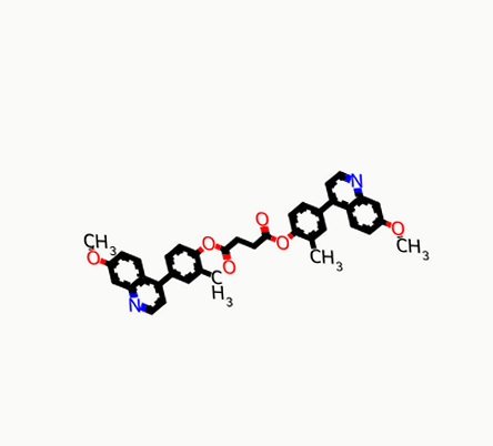 COc1ccc2c(-c3ccc(OC(=O)CCC(=O)Oc4ccc(-c5ccnc6cc(OC)ccc56)cc4C)c(C)c3)ccnc2c1